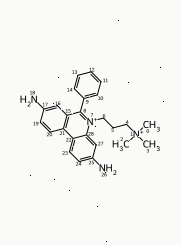 C[N+](C)(C)CCC[n+]1c(-c2ccccc2)c2cc(N)ccc2c2ccc(N)cc21